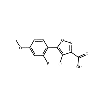 COc1ccc(-c2onc(C(=O)O)c2Cl)c(F)c1